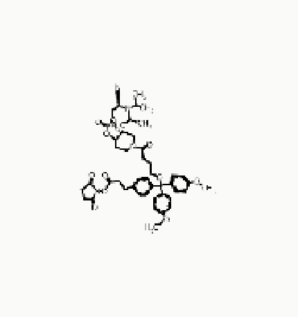 COc1ccc(C(OCCCC(=O)N2CCC(O[PH](=O)OCC(C#N)N(C(C)C)C(C)C)CC2)(c2ccc(CCC(=O)ON3C(=O)CCC3=O)cc2)c2ccc(OC)cc2)cc1